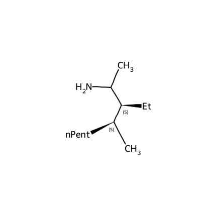 CCCCC[C@H](C)[C@H](CC)C(C)N